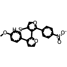 COc1ccc(-c2ccoc2-c2c([SiH3])coc2-c2ccc([N+](=O)[O-])cc2)cc1